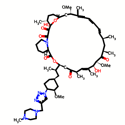 CO[C@H]1C[C@@H]2CC[C@@H](C)[C@@](O)(O2)C(=O)C(=O)N2CCCC[C@H]2C(=O)O[C@H]([C@H](C)C[C@@H]2CC[C@H](n3cc(CN4CCN(C)CC4)nn3)[C@H](OC)C2)CC(=O)[C@H](C)/C=C(\C)[C@@H](O)[C@@H](OC)C(=O)[C@H](C)C[C@H](C)/C=C/C=C/C=C/1C